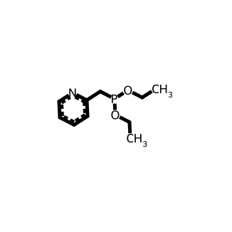 CCOP(Cc1ccccn1)OCC